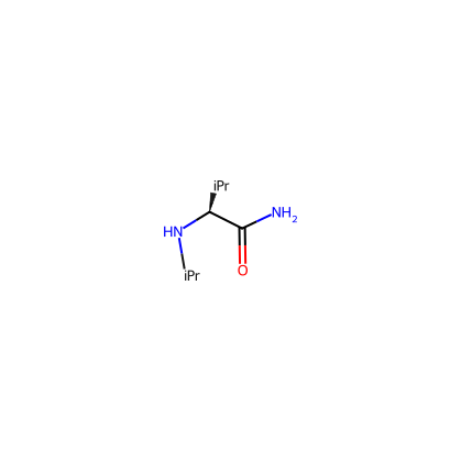 CC(C)N[C@H](C(N)=O)C(C)C